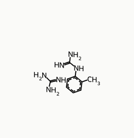 Cc1ccccc1NC(=N)N.N=C(N)N